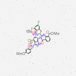 COC(=O)c1cccc2c(=O)n(-c3ccc(Cl)c4c(N(Cc5ccc(OC)cc5)S(C)(=O)=O)nn(C)c34)c([C@H](Cc3cc(F)cc(F)c3)NC(=O)OC(C)(C)C)nc12